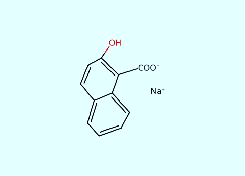 O=C([O-])c1c(O)ccc2ccccc12.[Na+]